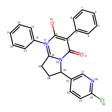 O=c1c(-c2ccccc2)c([O-])[n+](-c2ccccc2)c2n1C(c1ccc(Cl)nc1)CC2